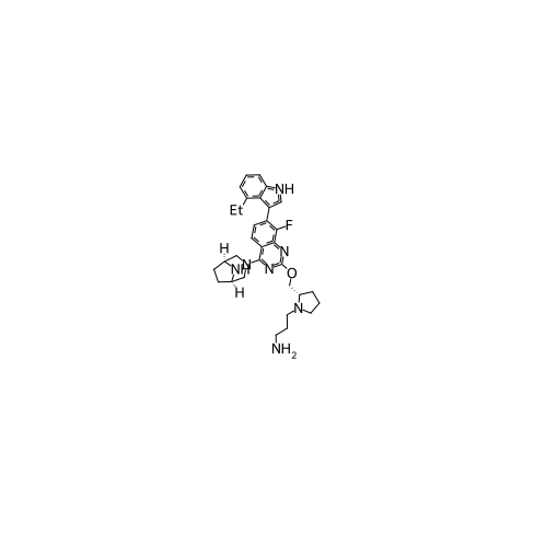 CCc1cccc2[nH]cc(-c3ccc4c(N5C[C@H]6CC[C@@H](C5)N6)nc(OC[C@@H]5CCCN5CCCN)nc4c3F)c12